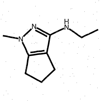 CCNc1nn(C)c2c1CCC2